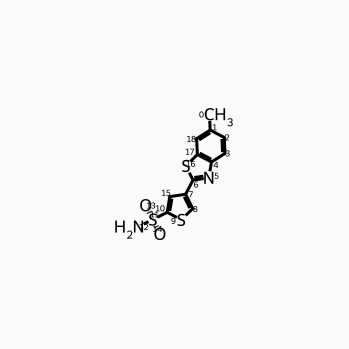 Cc1ccc2nc(-c3csc(S(N)(=O)=O)c3)sc2c1